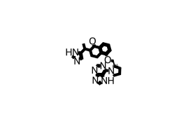 CC(c1cnc[nH]1)C1CCc2c(OC[C@H]3CCCN3c3ncnc4nc[nH]c34)cccc2C1=O